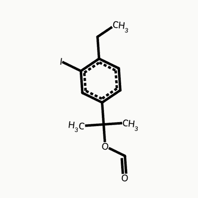 CCc1ccc(C(C)(C)OC=O)cc1I